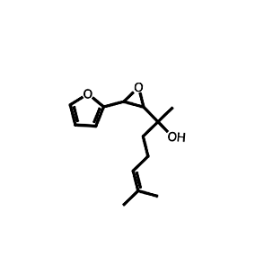 CC(C)=CCCC(C)(O)C1OC1c1ccco1